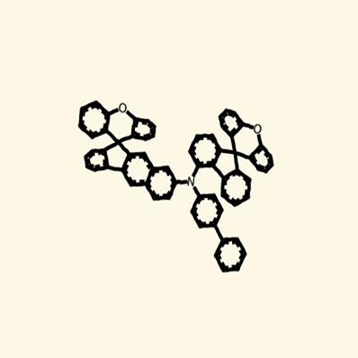 c1ccc(-c2ccc(N(c3ccc4cc5c(cc4c3)C3(c4ccccc4Oc4ccccc43)c3ccccc3-5)c3cccc4c3-c3ccccc3C43c4ccccc4Oc4ccccc43)cc2)cc1